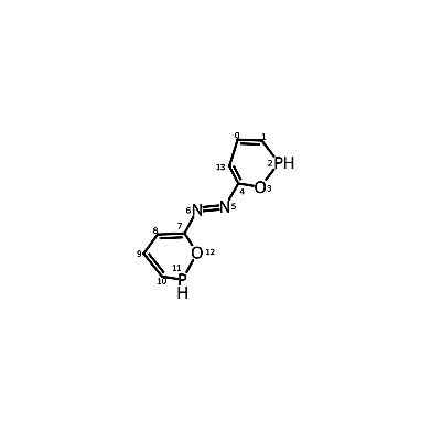 C1=CPOC(N=NC2=CC=CPO2)=C1